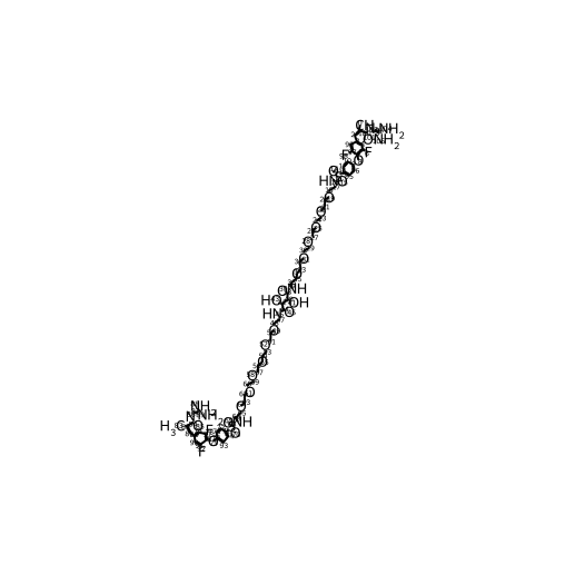 CC(=Cc1cc(F)c(Oc2ccc(S(=O)(=O)NCCOCCOCCOCCOCCOCCOCCNC(=O)C(O)C(O)C(=O)NCCOCCOCCOCCOCCOCCOCCNS(=O)(=O)c3ccc(Oc4c(F)cc(C=C(C)C(=O)N=C(N)N)cc4F)cc3)cc2)c(F)c1)C(=O)N=C(N)N